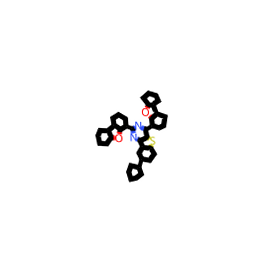 c1ccc(-c2ccc3sc4c(-c5cccc6c5oc5ccccc56)nc(-c5cccc6c5oc5ccccc56)nc4c3c2)cc1